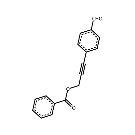 O=Cc1ccc(C#CCOC(=O)c2ccccc2)cc1